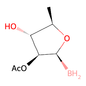 B[C@@H]1O[C@H](C)[C@@H](O)[C@@H]1OC(C)=O